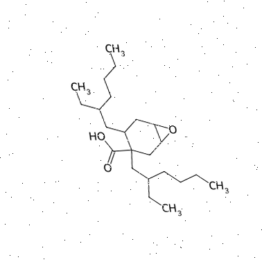 CCCCC(CC)CC1CC2OC2CC1(CC(CC)CCCC)C(=O)O